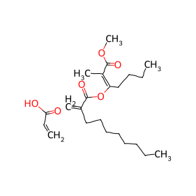 C=C(CCCCCCCC)C(=O)OC(CCCC)=C(C)C(=O)OC.C=CC(=O)O